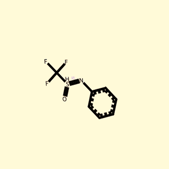 O=[SH](=N\c1[c]cccc1)/C(F)(F)F